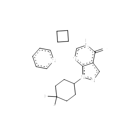 O=c1[nH]c([C@H]2CC[C@H]2c2ccccn2)nc2c1cnn2C1CCC(F)(F)CC1